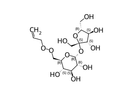 C=CCOOC[C@H]1O[C@H](O[C@]2(CO)O[C@H](CO)[C@@H](O)[C@@H]2O)[C@H](O)[C@@H](O)[C@@H]1O